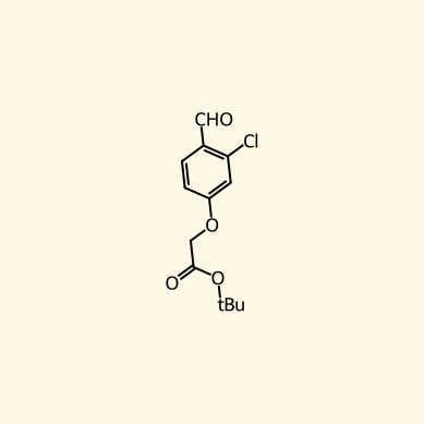 CC(C)(C)OC(=O)COc1ccc(C=O)c(Cl)c1